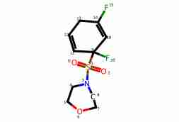 O=S(=O)(N1CCOCC1)C1(F)C=C[CH]C(F)=C1